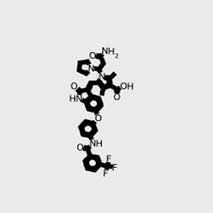 Cc1c(C(=O)O)c(C)n(C(CC(N)=O)N2CCCC2)c1C=C1C(=O)Nc2cc(Oc3cccc(NC(=O)c4cccc(C(F)(F)F)c4)c3)ccc21